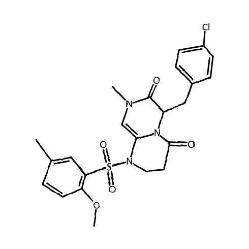 COc1ccc(C)cc1S(=O)(=O)N1CCC(=O)N2C1=CN(C)C(=O)C2Cc1ccc(Cl)cc1